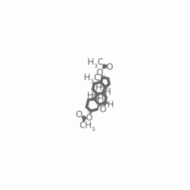 CC(=O)O[C@H]1CC[C@@H]2[C@H]3CC[C@]4(C)[C@@H](OC(C)=O)CC[C@H]4[C@@H]3C[C@@H]3O[C@@]32C1